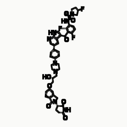 O=C1CC[C@H](N2Cc3cc(OC[C@H](O)CN4CCN(c5ccc(-c6cnc7[nH]cc(C(=O)c8c(F)ccc(NS(=O)(=O)N9CC[C@@H](F)C9)c8F)c7c6)cc5)CC4)ccc3C2=O)C(=O)N1